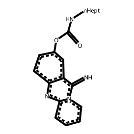 CCCCCCCNC(=O)Oc1ccc2nc3ccccn3c(=N)c2c1